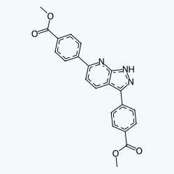 COC(=O)c1ccc(-c2ccc3c(-c4ccc(C(=O)OC)cc4)n[nH]c3n2)cc1